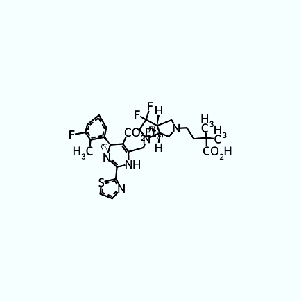 CCOC(=O)C1=C(CN2CC(F)(F)[C@@H]3CN(CCC(C)(C)C(=O)O)C[C@@H]32)NC(c2nccs2)=N[C@H]1c1cccc(F)c1C